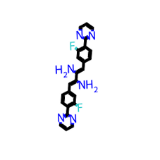 NC(=Cc1ccc(-c2ncccn2)c(F)c1)C(N)=Cc1ccc(-c2ncccn2)c(F)c1